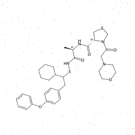 C[C@@H](NC(=O)[C@@H]1CSCN1C(=O)CN1CCOCC1)C(=O)NSC(Cc1ccc(Oc2ccccc2)cc1)C1CCCCC1